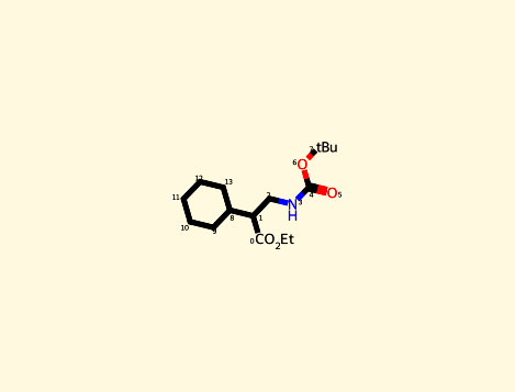 CCOC(=O)C(CNC(=O)OC(C)(C)C)C1CCCCC1